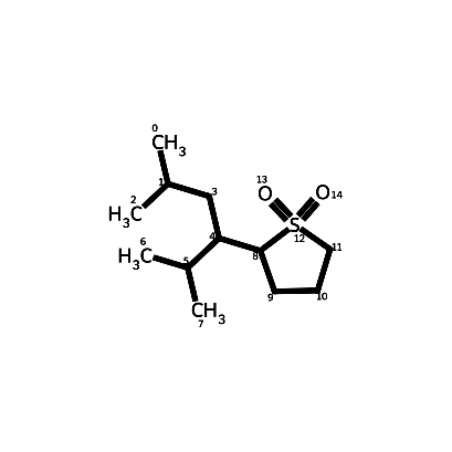 CC(C)CC(C(C)C)C1CCCS1(=O)=O